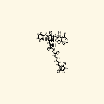 CNC(=O)C(NC(=O)CNC(=O)[C@H](Cc1ccccc1)NC(=O)CNC(=O)CNC(=O)CCCCCN1C(=O)C=CC1=O)C(C)C